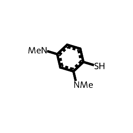 CNc1ccc(S)c(NC)c1